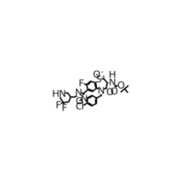 CC(C)(C)OC(=O)N[C@H]1C[S+]([O-])c2cc(F)c(-c3noc(C4CNCC(F)(F)C4)n3)cc2N(Cc2ccc(Cl)cc2)C1=O